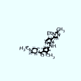 CCn1c(-c2ccnc(Nc3ccc(C(=O)N4CCN(C)CC4)c(C)c3)n2)cnc1C